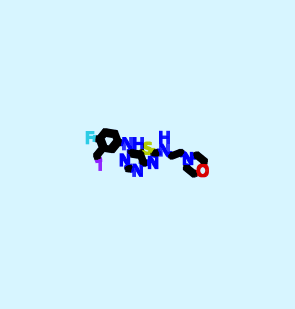 Fc1ccc(Nc2ncnc3nc(NCCN4CCOCC4)sc23)cc1CI